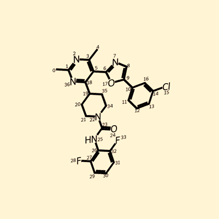 Cc1nc(C)c(-c2ncc(-c3cccc(Cl)c3)o2)c(C2CCN(C(=O)Nc3c(F)cccc3F)CC2)n1